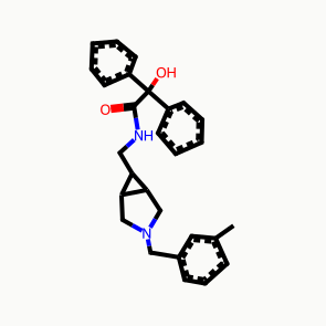 Cc1cccc(CN2CC3C(CNC(=O)C(O)(c4ccccc4)c4ccccc4)C3C2)c1